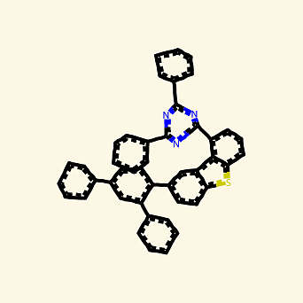 c1ccc(-c2ccc(-c3ccc4sc5cccc(-c6nc(-c7ccccc7)nc(-c7ccccc7)n6)c5c4c3)c(-c3ccccc3)c2)cc1